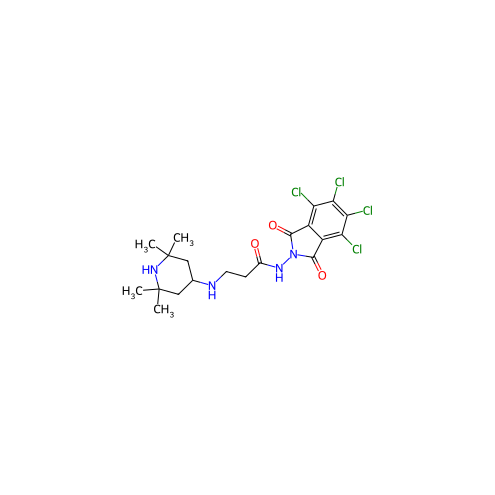 CC1(C)CC(NCCC(=O)NN2C(=O)c3c(Cl)c(Cl)c(Cl)c(Cl)c3C2=O)CC(C)(C)N1